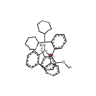 CC(C)Oc1cccc(OC(C)C)c1-c1ccccc1[PH](C1CCCCC1)(C1CCCCC1)[Pd-]([Cl])[c]1ccccc1-c1ccccc1N